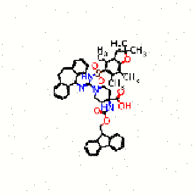 CC1=C2OC(C)(C)CC2C(C)C(S(=O)(=O)N/C(=N\C2c3ccccc3CCc3ccccc32)N2CCC(NC(=O)OCC3c4ccccc4-c4ccccc43)(C(=O)O)CC2)=C1C